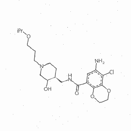 CC(C)OCCCN1CC[C@@H](CNC(=O)c2cc(N)c(Cl)c3c2OCCO3)C(O)C1